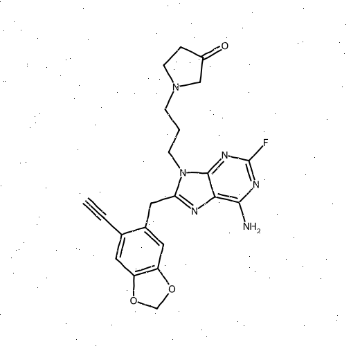 C#Cc1cc2c(cc1Cc1nc3c(N)nc(F)nc3n1CCCN1CCC(=O)C1)OCO2